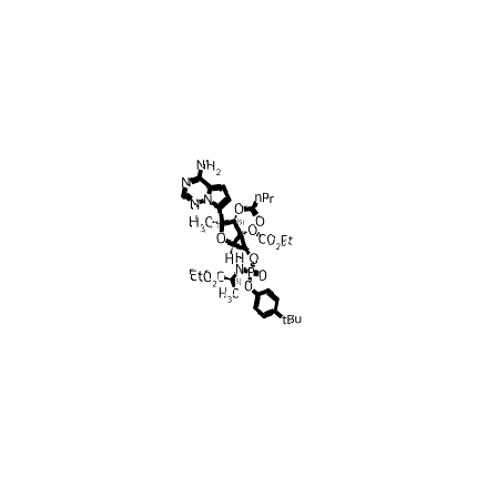 CCCC(=O)O[C@@H]1[C@@]2(OC(=O)OCC)C(OP(=O)(N[C@@H](C)C(=O)OCC)Oc3ccc(C(C)(C)C)cc3)[C@H]2O[C@@]1(C)c1ccc2c(N)ncnn12